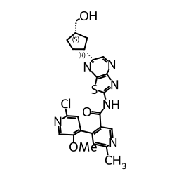 COc1cnc(Cl)cc1-c1cc(C)ncc1C(=O)Nc1nc2ncc([C@@H]3CC[C@H](CO)C3)nc2s1